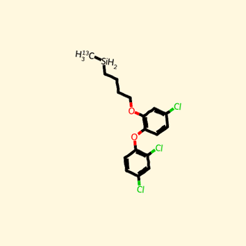 [13CH3][SiH2]CCCCOc1cc(Cl)ccc1Oc1ccc(Cl)cc1Cl